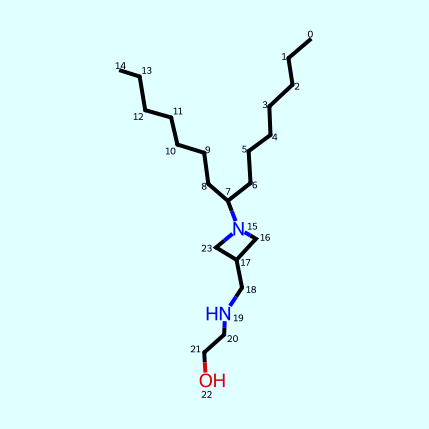 CCCCCCCC(CCCCCCC)N1CC(CNCCO)C1